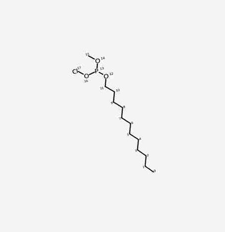 CCCCCCCCCCCCOP(OC)OCl